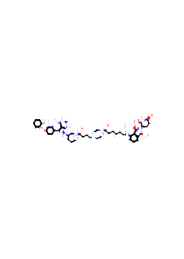 Nc1ncnc2c1c(-c1ccc(Oc3ccccc3)cc1)nn2C1CCCN(C(=O)CCCN2CCN(C(=O)CCCCCNc3cccc4c3C(=O)N(C3CCC(=O)NC3=O)C4=O)CC2)C1